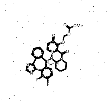 COC(=O)OCOc1c2n(ccc1=O)N([C@@H]1c3ccccc3-c3scnc3-c3c1ccc(F)c3F)[C@@H]1CCCCN1C2=O